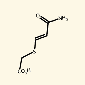 NC(=O)C=CSCC(=O)O